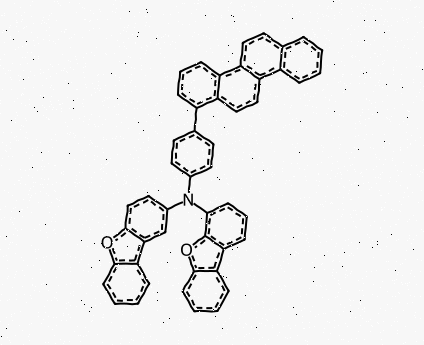 c1ccc2c(c1)ccc1c3cccc(-c4ccc(N(c5ccc6oc7ccccc7c6c5)c5cccc6c5oc5ccccc56)cc4)c3ccc21